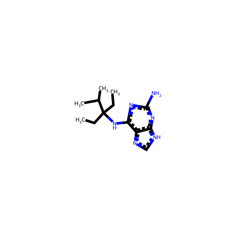 CCC(CC)(Nc1nc(N)nc2[nH]cnc12)C(C)C